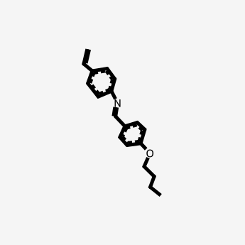 C=Cc1ccc(N=Cc2ccc(OCCCC)cc2)cc1